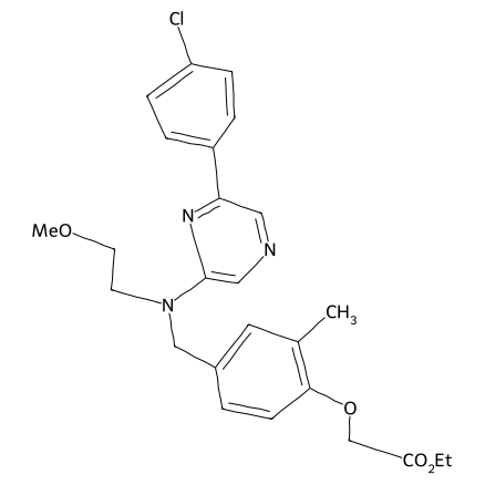 CCOC(=O)COc1ccc(CN(CCOC)c2cncc(-c3ccc(Cl)cc3)n2)cc1C